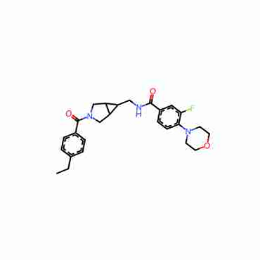 CCc1ccc(C(=O)N2CC3C(CNC(=O)c4ccc(N5CCOCC5)c(F)c4)C3C2)cc1